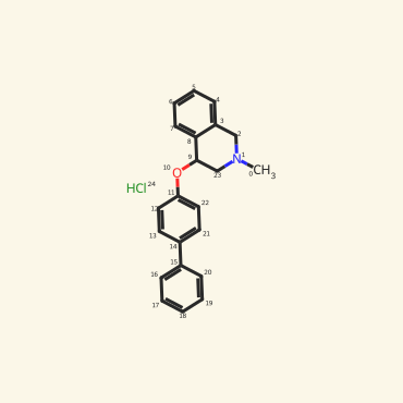 CN1Cc2ccccc2C(Oc2ccc(-c3ccccc3)cc2)C1.Cl